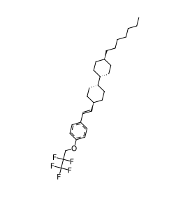 CCCCCCC[C@H]1CC[C@H]([C@H]2CC[C@H](C=Cc3ccc(OCC(F)(F)C(F)(F)F)cc3)CC2)CC1